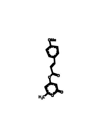 COc1ccc(/C=C/C(=O)Oc2cc(C)oc(=O)c2)cc1